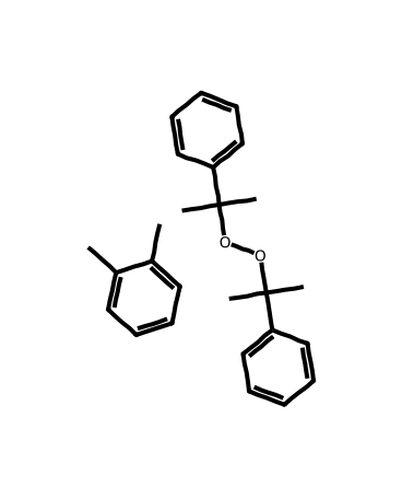 CC(C)(OOC(C)(C)c1ccccc1)c1ccccc1.Cc1ccccc1C